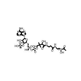 CC(=O)[SH](O)CCNC(=O)CCNC(=O)C(O)C(C)(C)COP(=O)(O)OP(=O)(O)OC[C@H]1O[C@@H](n2cnc3c(N)ncnc32)[C@H](O)[C@@H]1OP(=O)(O)O